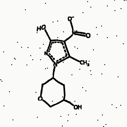 Cc1c([N+](=O)[O-])c(O)nn1C1COCC(O)C1